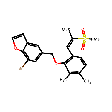 CNS(=O)(=O)C(=Cc1ccc(C)c(C)c1OCc1cc(Br)c2occc2c1)SC